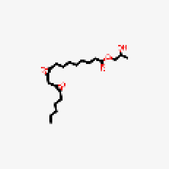 CCCCCC1OC1CC1OC1CCCCCCCC(=O)OCC(C)O